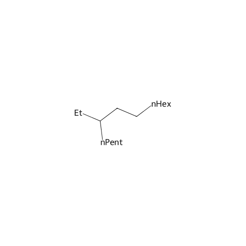 [CH2]CC(CCCCC)CCCCCCCC